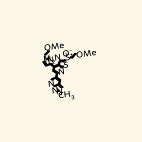 COCCn1ccc(-c2cc(-c3cnc4nn(C)cc4c3)nc3sc([S@+]([O-])CCOC)c(N)c23)n1